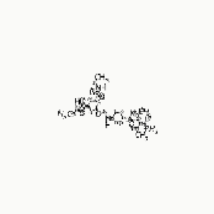 CCNS(=O)(=O)c1cc(OCNc2ccc(-c3nn(C)c4c(C(C)=O)c(C)nn34)cc2)cc(S(=O)(=O)NCC)c1